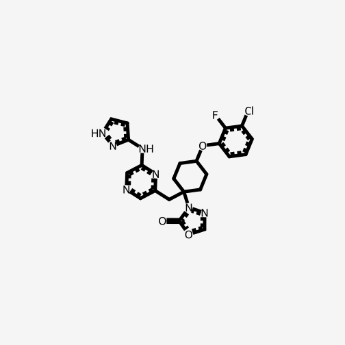 O=c1ocnn1C1(Cc2cncc(Nc3cc[nH]n3)n2)CCC(Oc2cccc(Cl)c2F)CC1